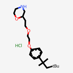 CC(C)(C)CC(C)(C)c1ccc(OCCOCCC2CNCCO2)cc1.Cl